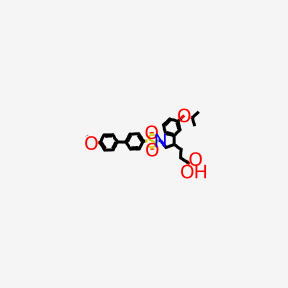 COc1ccc(-c2ccc(S(=O)(=O)N3CC(CCC(=O)O)c4cc(OC(C)C)ccc43)cc2)cc1